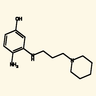 Nc1ccc(O)cc1NCCCN1CCCCC1